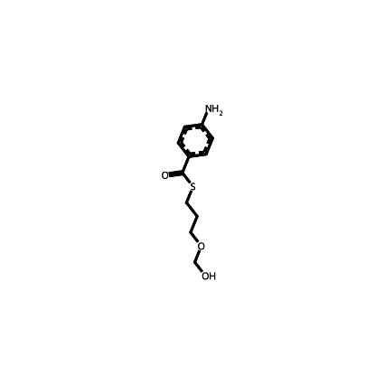 Nc1ccc(C(=O)SCCCOCO)cc1